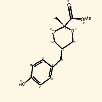 COC(=O)[C@]1(C)OC[C@@H](Cc2ccc(O)cc2)CO1